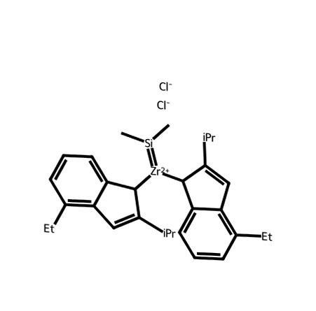 CCc1cccc2c1C=C(C(C)C)[CH]2[Zr+2]([CH]1C(C(C)C)=Cc2c(CC)cccc21)=[Si](C)C.[Cl-].[Cl-]